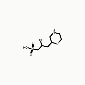 O=S(=O)(O)CC(O)CC1CNCCO1